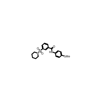 CSc1ccc(NC(=O)c2cccc(S(=O)(=O)N3CCCCC3)c2)cc1